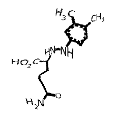 Cc1ccc(NN[C@@H](CCC(N)=O)C(=O)O)cc1C